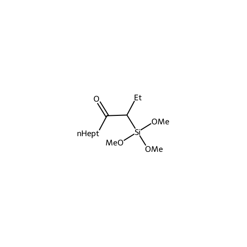 CCCCCCCC(=O)C(CC)[Si](OC)(OC)OC